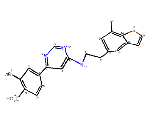 CCCc1cc(-c2cc(NCCc3cc(C)c4sccc4c3)ncn2)ccc1C(=O)O